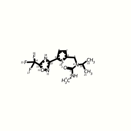 CNC(=O)N(Cc1ccc(-c2noc(C(F)(F)F)n2)s1)C(C)C